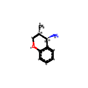 C[C@H]1COc2ccccc2[C@H]1N